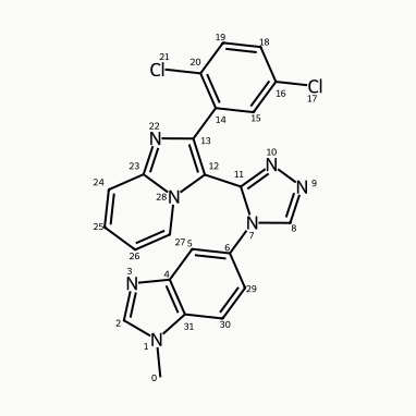 Cn1cnc2cc(-n3cnnc3-c3c(-c4cc(Cl)ccc4Cl)nc4ccccn34)ccc21